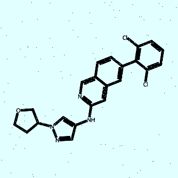 Clc1cccc(Cl)c1-c1ccc2cnc(Nc3cnn(C4CCOC4)c3)cc2c1